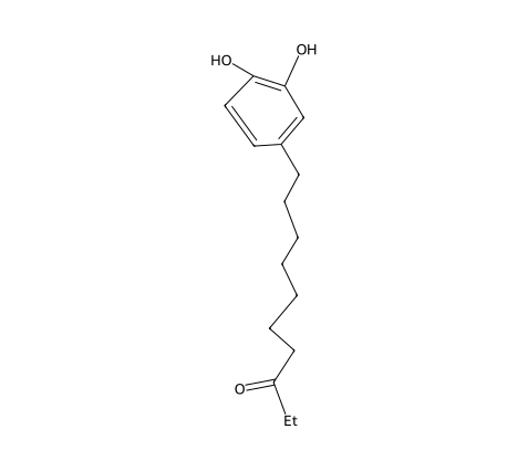 CCC(=O)CCCCCCCc1ccc(O)c(O)c1